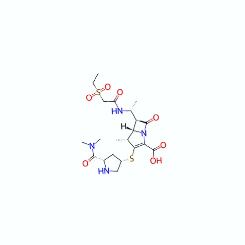 CCS(=O)(=O)CC(=O)N[C@H](C)[C@H]1C(=O)N2C(C(=O)O)=C(S[C@@H]3CN[C@H](C(=O)N(C)C)C3)[C@H](C)[C@H]12